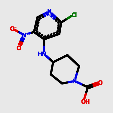 O=C(O)N1CCC(Nc2cc(Cl)ncc2[N+](=O)[O-])CC1